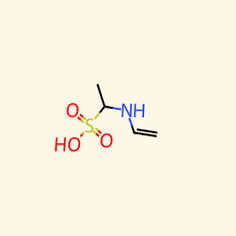 C=CNC(C)S(=O)(=O)O